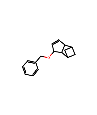 C1=CC2C3CC(C3)C2C1OCc1ccccc1